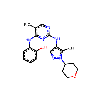 Cc1c(Nc2ncc(C(F)(F)F)c(Nc3ccccc3O)n2)cnn1C1CCOCC1